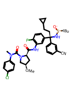 CO[C@@H]1C[C@H](C(=O)Nc2cc([C@](CCC3CC3)(N[S+]([O-])C(C)(C)C)c3cccc(C#N)c3)ccc2F)N(C(=O)N(C)c2ccc(Cl)cc2)C1